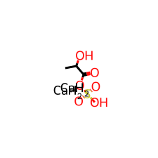 CC(O)C(=O)OS(=O)(=O)O.[CaH2].[CaH2]